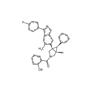 Cc1cc2c(cnn2-c2ccc(F)cc2)cc1[C@]12CN(C(=O)c3ncccc3C#N)C[C@H]1[C@@H]2c1ccccc1